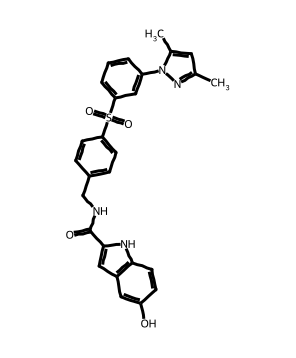 Cc1cc(C)n(-c2cccc(S(=O)(=O)c3ccc(CNC(=O)c4cc5cc(O)ccc5[nH]4)cc3)c2)n1